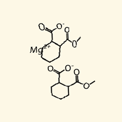 COC(=O)C1CCCCC1C(=O)[O-].COC(=O)C1CCCCC1C(=O)[O-].[Mg+2]